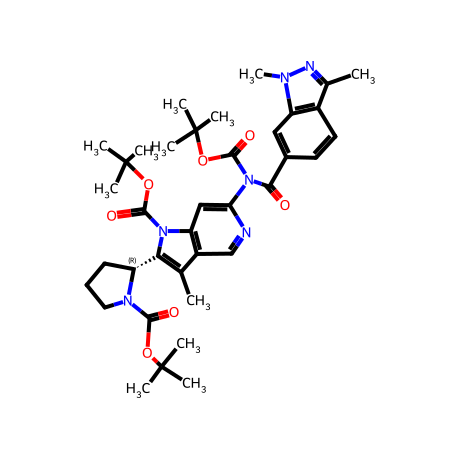 Cc1nn(C)c2cc(C(=O)N(C(=O)OC(C)(C)C)c3cc4c(cn3)c(C)c([C@H]3CCCN3C(=O)OC(C)(C)C)n4C(=O)OC(C)(C)C)ccc12